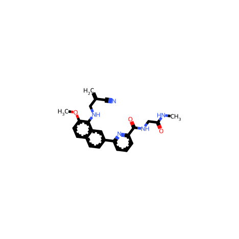 C=C(C#N)CNc1c(OC)ccc2ccc(-c3cccc(C(=O)NCC(=O)NC)n3)cc12